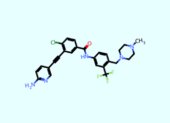 CN1CCN(Cc2ccc(NC(=O)c3ccc(Cl)c(C#Cc4ccc(N)nc4)c3)cc2C(F)(F)F)CC1